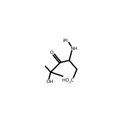 CC(C)NC(CC(=O)O)C(=O)C(C)(C)O